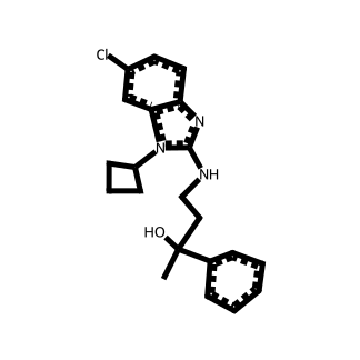 CC(O)(CCNc1nc2ccc(Cl)cc2n1C1CCC1)c1ccccc1